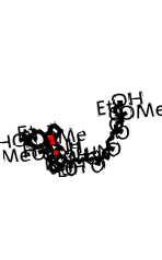 CCC(CO)OC(COC(=O)CCCC(=O)NC(C)C(=O)OCCCNC(=O)[C@]1(O)C2Nc3cc(OC)c([C@@]4(C(=O)OC)C[C@@H]5C[N@](CCc6c4[nH]c4ccccc64)C(O)(CC)C5)cc3[C@@]23CCN2CC=C[C@](CC)(C23)[C@H]1O)OC